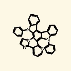 c1ccc(-n2c3ccccc3c3c4c5ccccc5n(-c5ccccc5)c4c4c(c5ncccc5c5nccn54)c32)cc1